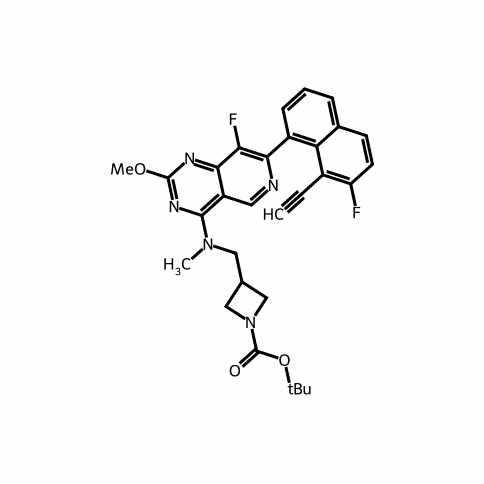 C#Cc1c(F)ccc2cccc(-c3ncc4c(N(C)CC5CN(C(=O)OC(C)(C)C)C5)nc(OC)nc4c3F)c12